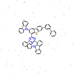 c1ccc(-c2cccc(-c3ccc4c(c3)sc3c(-c5nc(-c6ccccc6)nc(-c6cccc7c8ccccc8n(-c8ccccc8)c67)n5)cc(-n5c6ccccc6c6ccccc65)cc34)c2)cc1